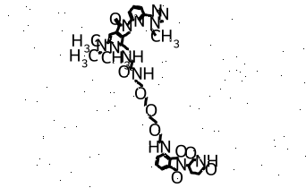 CCn1cnnc1-c1cccc(N2Cc3c(cc(N(C)C(C)C)nc3CNCC(=O)NCCOCCOCCOCCNc3cccc4c3C(=O)N(C3CCC(=O)NC3=O)C4=O)C2=O)n1